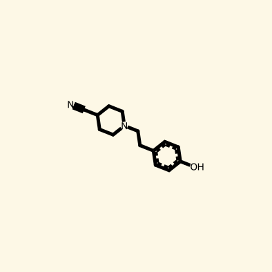 N#CC1CCN(CCc2ccc(O)cc2)CC1